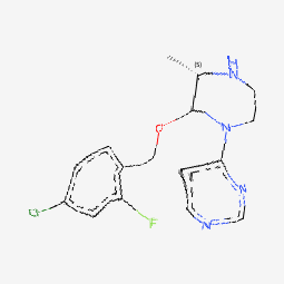 C[C@@H]1NCCN(c2ccncn2)C1OCc1ccc(Cl)cc1F